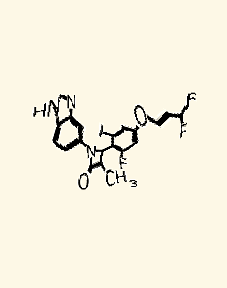 CC1C(=O)N(c2ccc3[nH]cnc3c2)C1c1c(F)cc(OCCC(F)F)cc1I